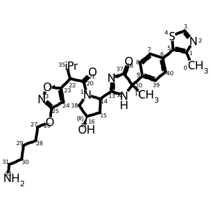 Cc1ncsc1-c1ccc(C2(C)NC(C3C[C@@H](O)CN3C(=O)C(c3cc(OCCCCCN)no3)C(C)C)=NC2=O)cc1